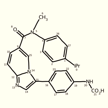 CC(C)c1ccc(N(C)C(=O)c2ccc3ncc(-c4ccc(NC(=O)O)cc4)n3c2)cc1